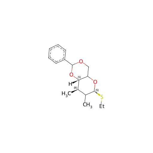 CCS[C@@H]1OC2COC(c3ccccc3)O[C@H]2[C@H](C)C1C